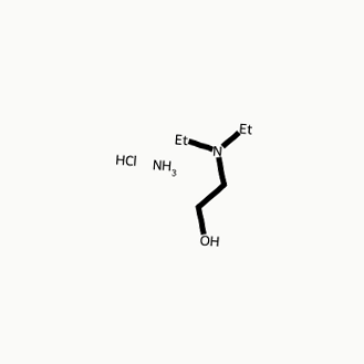 CCN(CC)CCO.Cl.N